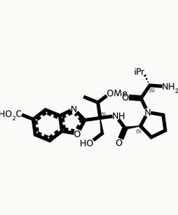 COC(C)[C@](CO)(NC(=O)[C@@H]1CCCN1C(=O)[C@@H](N)C(C)C)c1nc2cc(C(=O)O)ccc2o1